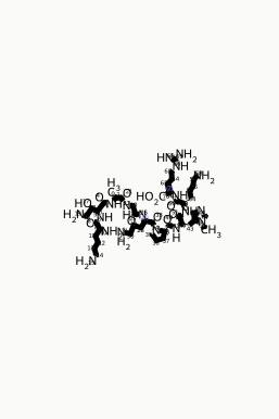 C[C@H](NC(=O)[C@@H](NC(=O)[C@@H](N)CCCCN)[C@@H](O)CN)C(=O)NCC(=O)/N=C(\CCCN)C(=O)N1CCC[C@H]1C(=O)N[C@@H](Cc1cncn1C)C(=O)N[C@@H](CCCCN)C(=O)N/C(=C\CCNC(=N)N)C(=O)O